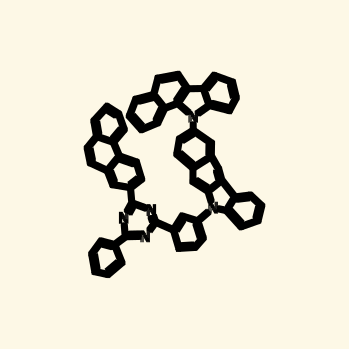 c1ccc(-c2nc(-c3cccc(-n4c5ccccc5c5cc6cc(-n7c8ccccc8c8ccc9ccccc9c87)ccc6cc54)c3)nc(-c3ccc4c(ccc5ccccc54)c3)n2)cc1